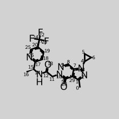 Cc1nn(C2CC2)c2cnn(CC(=O)N[C@@H](C)c3ccc(C(F)(F)F)cn3)c(=O)c12